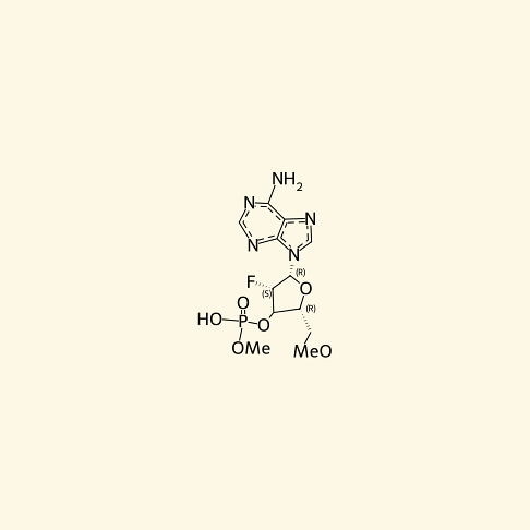 COC[C@H]1O[C@@H](n2cnc3c(N)ncnc32)[C@@H](F)C1OP(=O)(O)OC